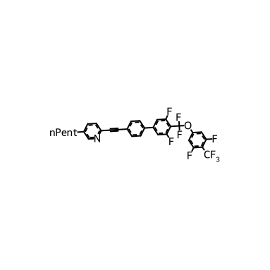 CCCCCc1ccc(C#Cc2ccc(-c3cc(F)c(C(F)(F)Oc4cc(F)c(C(F)(F)F)c(F)c4)c(F)c3)cc2)nc1